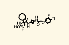 O=C(COc1ccc(Cl)c(F)c1)NC12CC(NC(=O)C3(C4CCCCCCC4)CNC(O)N3)(C1)C2